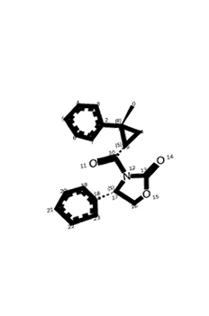 C[C@@]1(c2ccccc2)C[C@@H]1C(=O)N1C(=O)OC[C@@H]1c1ccccc1